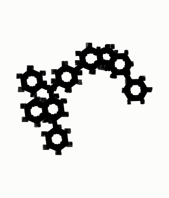 c1ccc(-c2ccc3sc4ccc(-c5ccc(N(c6ccccc6)c6ccc(-c7ccccc7)c7ccccc67)cc5)cc4c3c2)cc1